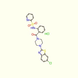 Cl.O=C(c1ccccc1NS(=O)(=O)c1ccccn1)N1CCN(c2nc3ccc(Cl)cc3s2)CC1